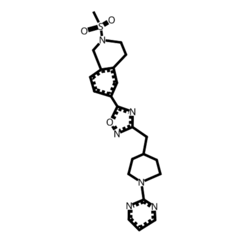 CS(=O)(=O)N1CCc2cc(-c3nc(CC4CCN(c5ncccn5)CC4)no3)ccc2C1